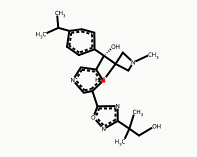 CC(C)c1ccc([C@](O)(c2cncc(-c3nc(C(C)(C)CO)no3)c2)C2(C)CN(C)C2)cc1